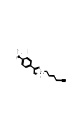 C#CCCCCn1cc(-c2ccc(C(N)=O)cc2)cn1